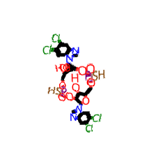 O=P1(S)OCC2OC(n3cnc4cc(Cl)c(Cl)cc43)C(OP(=O)(S)OCC3OC(n4cnc5cc(Cl)c(Cl)cc54)C(O1)C3O)C2O